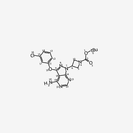 CC(C)(C)OC(=O)N1CC(n2nc(Oc3cccc(Cl)c3)c3c(N)ncnc32)C1